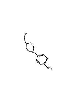 CCCSC1CCN(c2ccc(N)cc2)CC1